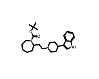 CC(C)(C)OC(=O)N1CCCCCC1CCN1CCC(c2c[nH]c3ccccc23)CC1